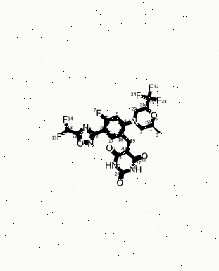 C[C@H]1CN(c2cc(F)c(-c3noc(C(F)F)n3)cc2CC2C(=O)NC(=O)NC2=O)CC(C(F)(F)F)O1